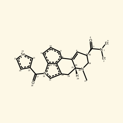 CCN(CC)C(=O)[C@@H]1C=C2c3cccc4c3c(cn4C(=O)c3cc[se]c3)C[C@H]2N(C)C1